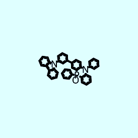 O=P1(c2ccccc2)c2ccccc2N(c2ccccc2)c2ccc(-c3cccc(-n4c5ccccc5c5ccccc54)c3)cc21